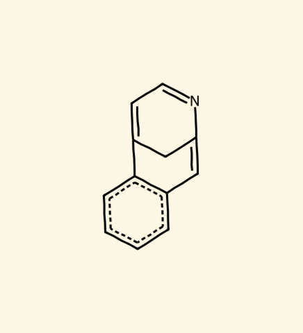 C1=NC2=Cc3ccccc3C(=C1)C2